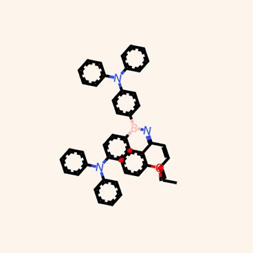 C\C=C/C=C\C(=N\B(c1ccc(N(c2ccccc2)c2ccccc2)cc1)c1ccc(N(c2ccccc2)c2ccccc2)cc1)c1ccccc1OC